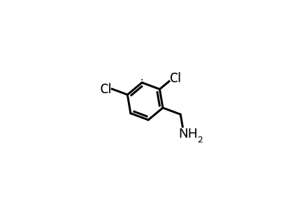 NCc1ccc(Cl)[c]c1Cl